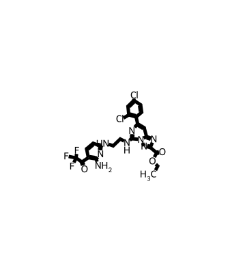 CCOC(=O)c1nc2cc(-c3ccc(Cl)cc3Cl)nc(NCCNc3ccc(C(=O)C(F)(F)F)c(N)n3)n2n1